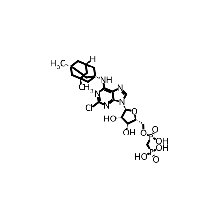 C[C@]12C[C@@H]3C[C@](C)(C1)C[C@@](Nc1nc(Cl)nc4c1ncn4[C@@H]1O[C@H](COP(=O)(O)CP(=O)(O)O)[C@H](O)[C@@H]1O)(C3)C2